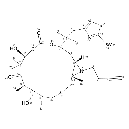 C#CCCN1[C@H]2C[C@@H](C(C)(C)Cc3csc(SC)n3)OC(=O)C[C@H](O)C(C)(C)C(=O)[C@H](C)[C@@H](O)[C@@H](C)CCC[C@]21C